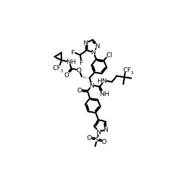 CC(C)(CCNC(=N)N(C(=O)c1ccc(-c2cnn(S(C)(=O)=O)c2)cc1)[C@H](COC(=O)NC1(C(F)(F)F)CC1)c1ccc(Cl)c(-n2ncnc2C(F)F)c1)C(F)(F)F